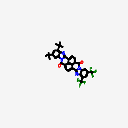 CC(C)(C)c1cc(C(C)(C)C)c2nc3c4ccc5c(=O)n6c7cc(C(F)(F)F)cc(C(F)(F)F)c7nc6c6ccc(c(=O)n3c2c1)c4c56